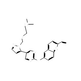 C[SiH](C)CCOCn1nccc1-c1cnc(Oc2ccc3nc(C=O)ccc3c2)nc1